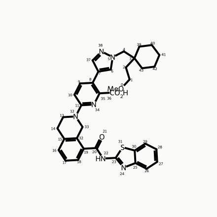 COCCC1(Cn2cc(-c3ccc(N4CCc5cccc(C(=O)Nc6nc7ccccc7s6)c5C4)nc3C(=O)O)cn2)CCCCC1